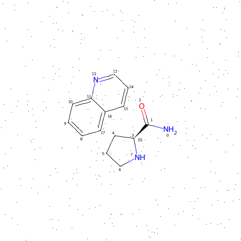 NC(=O)[C@@H]1CCCN1.c1ccc2ncccc2c1